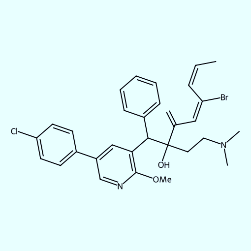 C=C(/C=C(Br)\C=C/C)C(O)(CCN(C)C)C(c1ccccc1)c1cc(-c2ccc(Cl)cc2)cnc1OC